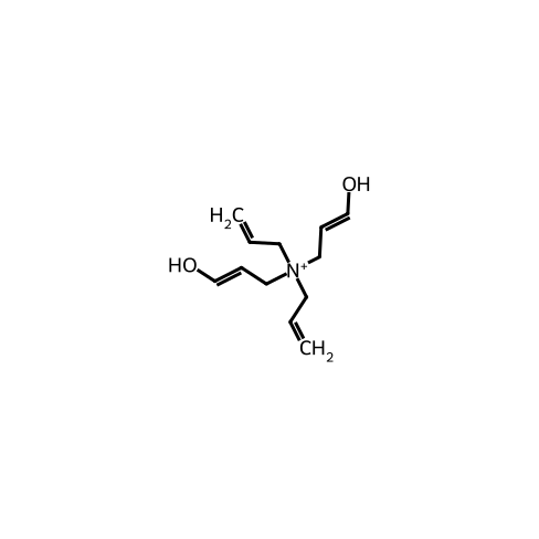 C=CC[N+](CC=C)(CC=CO)CC=CO